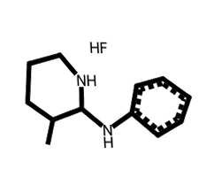 CC1CCCNC1Nc1ccccc1.F